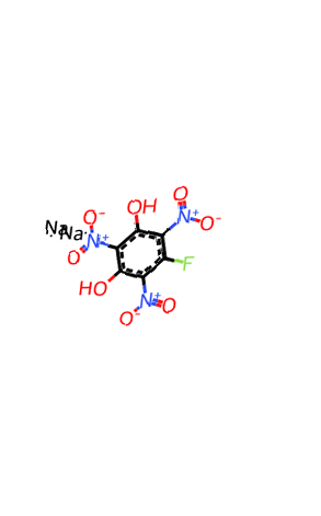 O=[N+]([O-])c1c(O)c([N+](=O)[O-])c(F)c([N+](=O)[O-])c1O.[Na].[Na]